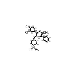 CCN(C(C)=O)C1CCN(CCC(CN(C)C(=O)c2ccccc2)c2ccc(Cl)c(Cl)c2)CC1